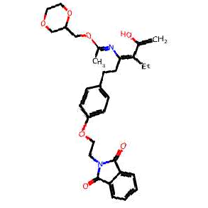 C=C(O)/C(CC)=C(CCc1ccc(OCCN2C(=O)c3ccccc3C2=O)cc1)\N=C(/C)OCC1COCCO1